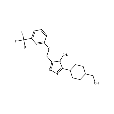 Cn1c(COc2cccc(C(F)(F)F)c2)nnc1C1CCC(CO)CC1